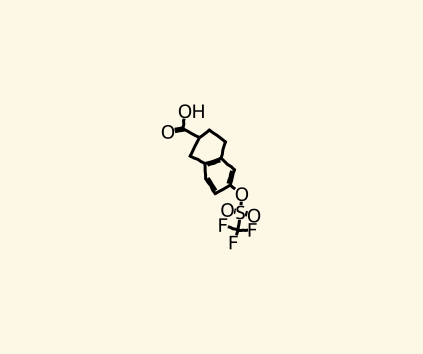 O=C(O)C1CCc2cc(OS(=O)(=O)C(F)(F)F)ccc2C1